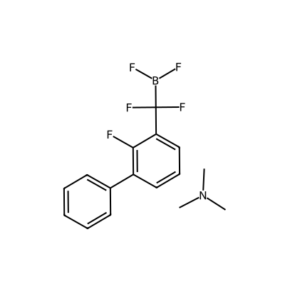 CN(C)C.FB(F)C(F)(F)c1cccc(-c2ccccc2)c1F